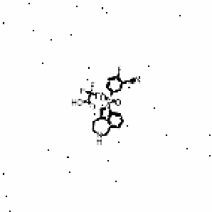 N#Cc1cc(S(=O)(=O)n2cc3c4c(cccc42)CNCC3)ccc1F.O=C(O)C(F)(F)F